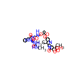 CCc1c2c(nc3ccc(OC(=O)C4(COCNC(=O)CNC(=O)[C@H](Cc5ccccc5)NC(=O)CNC(=O)CNC)CCC4)cc13)-c1cc3c(c(=O)n1C2)COC(=O)C3(O)CC